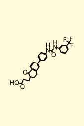 O=C(O)CCC1CCc2cc(-c3ccc(NC(=O)Nc4cccc(C(F)(F)F)c4)cc3)ccc2C1=O